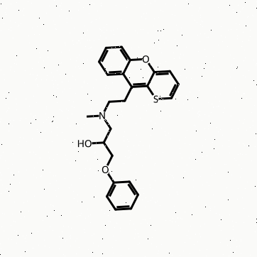 CN(CCC1=C2SC=CC=C2Oc2ccccc21)CC(O)COc1ccccc1